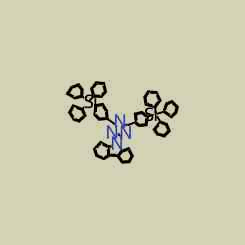 c1ccc([Si](c2ccccc2)(c2ccccc2)c2ccc(-c3nc(-c4ccc([Si](c5ccccc5)(c5ccccc5)c5ccccc5)cc4)nc(-n4c5ccccc5c5ccccc54)n3)cc2)cc1